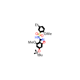 CCc1ccc(OC)c(S(=O)(=O)Nc2noc3cc(O[Si](C)(C)C(C)(C)C)cc(OC)c23)c1